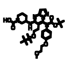 COCCOc1ccc(N(C(=O)OC(C)(C)C)c2c(CCO[Si](C)(C)C(C)(C)C)c(NC3CCCN(C(=O)O)C3)nc3ccnn23)cc1